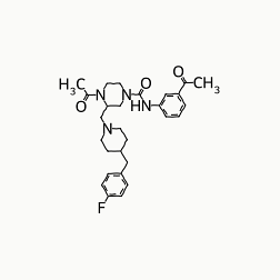 CC(=O)c1cccc(NC(=O)N2CCN(C(C)=O)C(CN3CCC(Cc4ccc(F)cc4)CC3)C2)c1